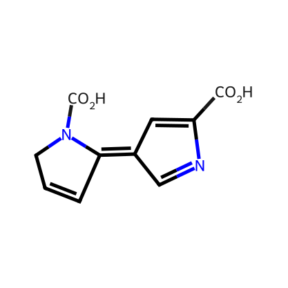 O=C(O)C1=CC(=C2C=CCN2C(=O)O)C=N1